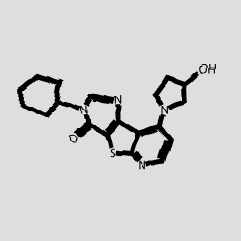 O=c1c2sc3nccc(N4CCC(O)C4)c3c2ncn1C1CCCCC1